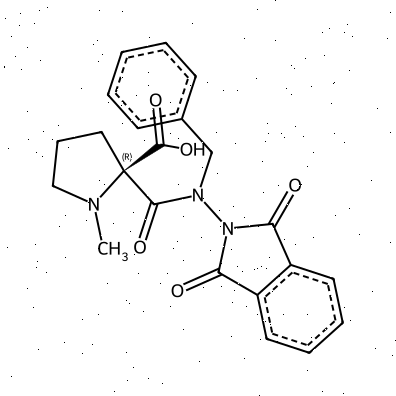 CN1CCC[C@]1(C(=O)O)C(=O)N(Cc1ccccc1)N1C(=O)c2ccccc2C1=O